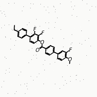 CCc1ccc(-c2ccc(OC(=O)c3ccc(-c4ccc(OC)c(F)c4)cc3)c(F)c2F)cc1